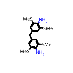 CSc1cc(Cc2cc(SC)c(N)c(SC)c2)cc(SC)c1N